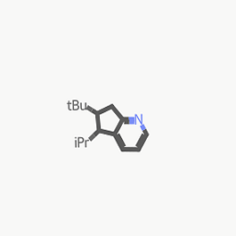 CC(C)C1c2cccnc2CC1C(C)(C)C